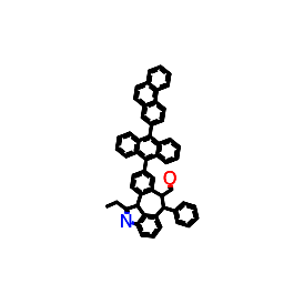 CCC1=Nc2cccc3c2C1c1ccc(-c2c4ccccc4c(-c4ccc5c(ccc6ccccc65)c4)c4ccccc24)cc1C(C=O)C3c1ccccc1